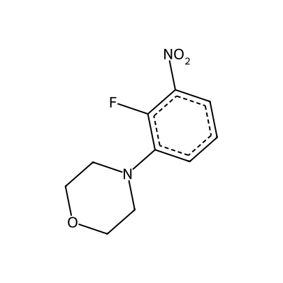 O=[N+]([O-])c1cccc(N2CCOCC2)c1F